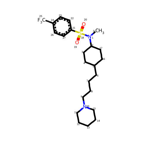 CN(C1CCC(CCCCN2CCCCC2)CC1)S(=O)(=O)c1ccc(C(F)(F)F)cc1